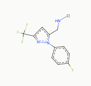 Fc1ccc(-n2nc(C(F)(F)F)cc2CNCl)cc1